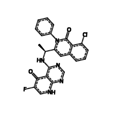 C[C@H](Nc1ncnc2[nH]cc(F)c(=O)c12)c1cc2cccc(Cl)c2c(=O)n1-c1ccccc1